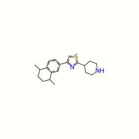 CC1CCC(C)c2cc(-c3csc(C4CCNCC4)n3)ccc21